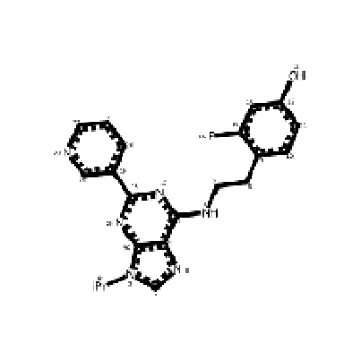 CC(C)n1cnc2c(NCCc3ccc(O)cc3F)nc(-c3cccnc3)nc21